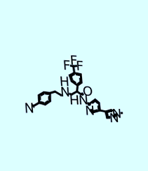 Cn1cc(-c2ccc(NC(=O)C(CNCCc3ccc(C#N)cc3)c3ccc(C(F)(F)F)cc3)nc2)cn1